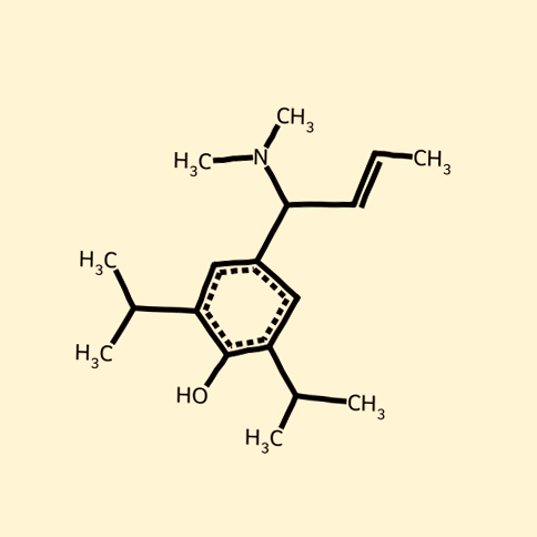 C/C=C/C(c1cc(C(C)C)c(O)c(C(C)C)c1)N(C)C